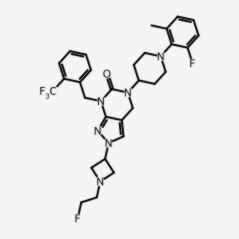 Cc1cccc(F)c1N1CCC(N2Cc3cn(C4CN(CCF)C4)nc3N(Cc3ccccc3C(F)(F)F)C2=O)CC1